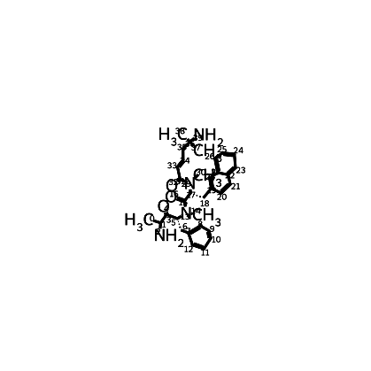 CC(N)C(=O)[C@@H](Cc1ccccc1)N(C)C(=O)[C@@H](Cc1ccc2ccccc2c1)N(C)C(=O)/C=C/CC(C)(C)N